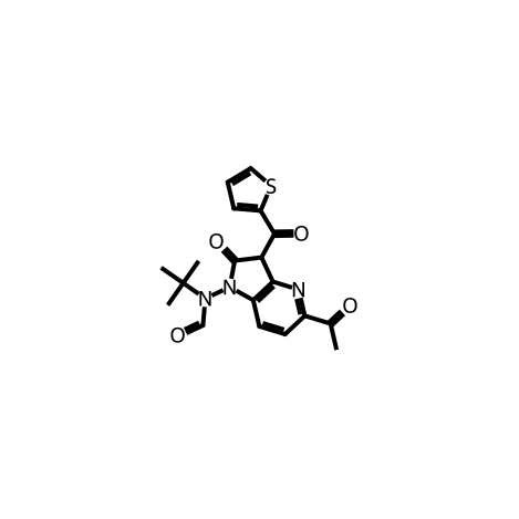 CC(=O)c1ccc2c(n1)C(C(=O)c1cccs1)C(=O)N2N(C=O)C(C)(C)C